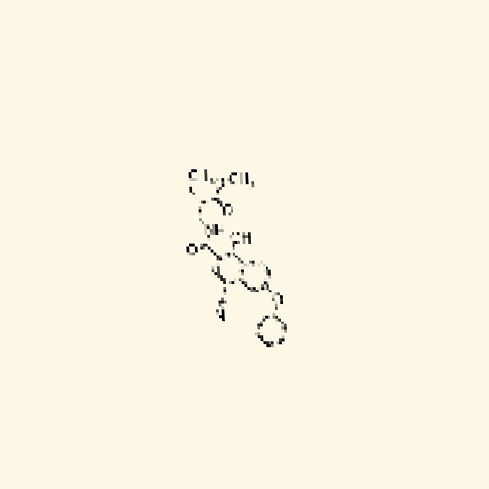 CCC(CNC(=O)c1nc(C#N)c2cc(Oc3ccccc3)ccc2c1O)C(=O)OC